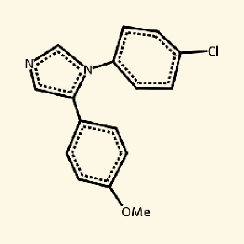 COc1ccc(-c2cncn2-c2ccc(Cl)cc2)cc1